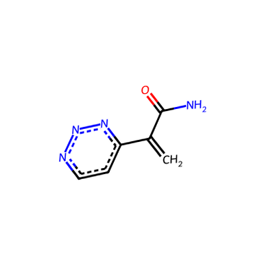 C=C(C(N)=O)c1ccnnn1